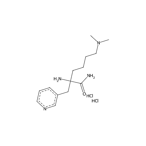 CN(C)CCCCC(N)(Cc1cccnc1)C(N)=O.Cl.Cl